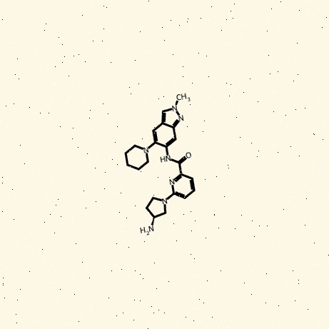 Cn1cc2cc(N3CCCCC3)c(NC(=O)c3cccc(N4CC[C@H](N)C4)n3)cc2n1